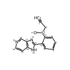 C#CC[S+]([O-])c1ccccc1-c1nc2cnccc2[nH]1